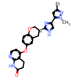 CCc1cc(-c2c[nH]c([C@@H]3COc4ccc(Oc5ccnc6c5CCC(=O)N6)cc4C3)n2)n(C)n1